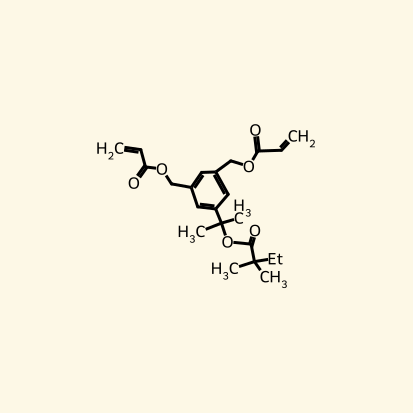 C=CC(=O)OCc1cc(COC(=O)C=C)cc(C(C)(C)OC(=O)C(C)(C)CC)c1